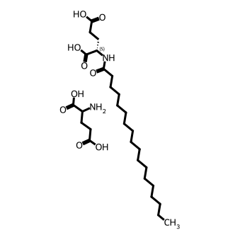 CCCCCCCCCCCCCCCCCC(=O)N[C@@H](CCC(=O)O)C(=O)O.NC(CCC(=O)O)C(=O)O